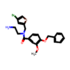 COc1cc(C(=O)N(CCN)Cc2cc(Br)cs2)ccc1OCc1ccccc1